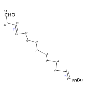 CCCC/C=C/CCCCCCCC/C=C/CC=O